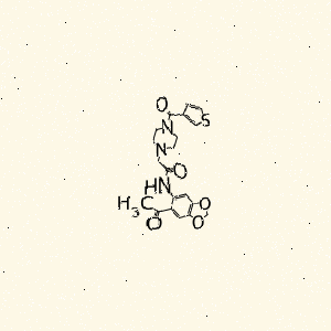 CC(=O)c1cc2c(cc1NC(=O)CN1CCN(C(=O)c3ccsc3)CC1)OCO2